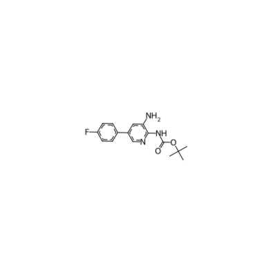 CC(C)(C)OC(=O)Nc1ncc(-c2ccc(F)cc2)cc1N